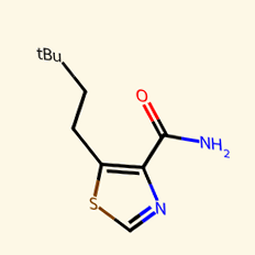 CC(C)(C)CCc1scnc1C(N)=O